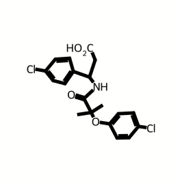 CC(C)(Oc1ccc(Cl)cc1)C(=O)NC(CC(=O)O)c1ccc(Cl)cc1